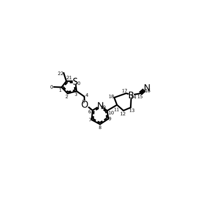 Cc1cc(COc2cccc(C3CCB(C#N)CC3)n2)sc1C